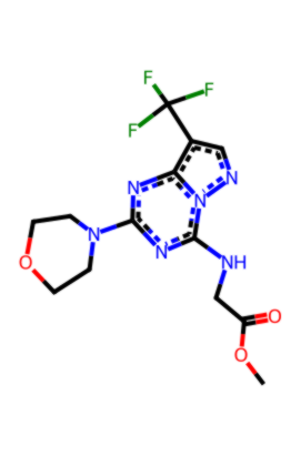 COC(=O)CNc1nc(N2CCOCC2)nc2c(C(F)(F)F)cnn12